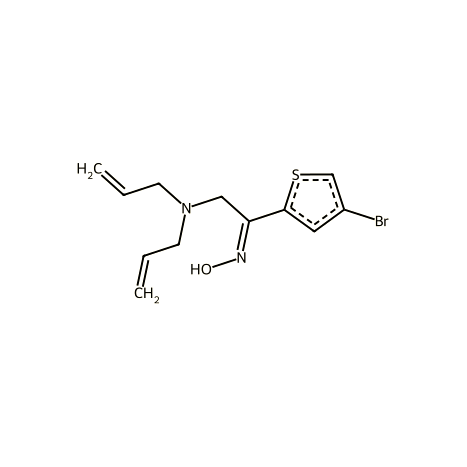 C=CCN(CC=C)CC(=NO)c1cc(Br)cs1